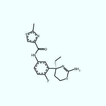 CC[C@@]1(c2cc(NC(=O)c3csc(C)n3)ccc2F)CCSC(N)=N1